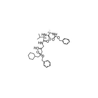 CC(C)[C@@H](NC(=O)[C@H](C)NC(=O)OCc1ccccc1)C(=O)NC[C@H](O)CP(=O)(CC1CCCCC1)OCc1ccccc1